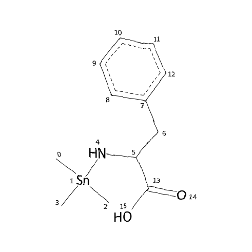 [CH3][Sn]([CH3])([CH3])[NH]C(Cc1ccccc1)C(=O)O